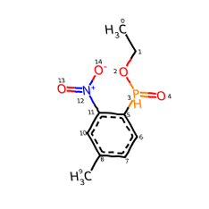 CCO[PH](=O)c1ccc(C)cc1[N+](=O)[O-]